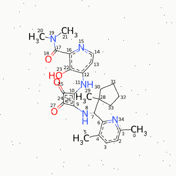 Cc1ccc(C)c([C@H](Nc2c(Nc3ccnc(C(=O)N(C)C)c3O)c(=O)c2=O)C2(C)CCCC2)n1